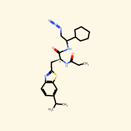 CCC(=O)N[C@@H](Cc1nc2ccc(C(C)C)cc2s1)C(=O)NC(CN=[N+]=[N-])C1CCCCC1